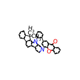 CC1(C)c2ccccc2-c2ccc3c4ccncc4n(-c4ccccc4-c4ccc5oc6ccccc6c(=O)c5c4)c3c21